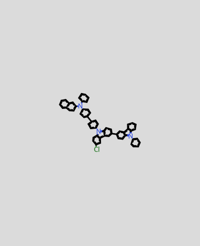 Clc1ccc2c(c1)c1cc(-c3ccc4c(c3)c3ccccc3n4-c3ccccc3)ccc1n2-c1ccc(-c2ccc(N(c3ccccc3)c3ccc4ccccc4c3)cc2)cc1